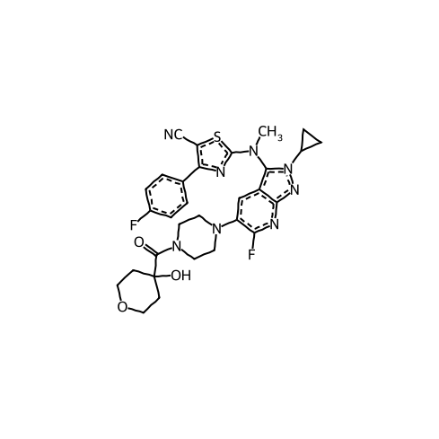 CN(c1nc(-c2ccc(F)cc2)c(C#N)s1)c1c2cc(N3CCN(C(=O)C4(O)CCOCC4)CC3)c(F)nc2nn1C1CC1